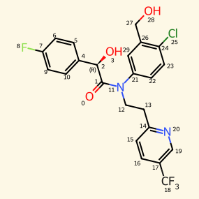 O=C([C@H](O)c1ccc(F)cc1)N(CCc1ccc(C(F)(F)F)cn1)c1ccc(Cl)c(CO)c1